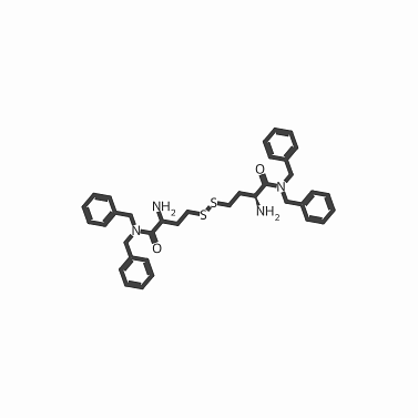 NC(CCSSCC[C@H](N)C(=O)N(Cc1ccccc1)Cc1ccccc1)C(=O)N(Cc1ccccc1)Cc1ccccc1